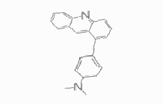 CN(C)c1ccc(-c2cccc3nc4ccccc4cc23)cc1